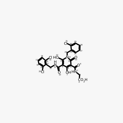 O=C(O)CNC(=O)c1c(O)c(C(=O)NCc2c(Cl)cccc2Cl)c(O)n(Cc2ccccc2Cl)c1=O